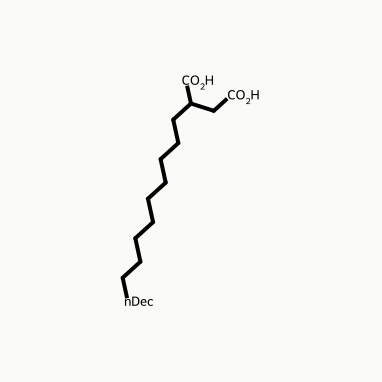 CCCCCCCCCCCCCCCCCCCC(CC(=O)O)C(=O)O